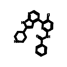 O=C(Nc1ccc(Cl)c(-c2ccnc3[nH]c(C4CCNCC4)cc23)n1)c1ccccc1